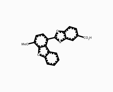 COc1ccc(-c2nc3cc(C(=O)O)ccc3o2)c2c1oc1ccccc12